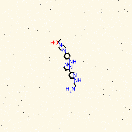 CC(O)N1CCN(c2ccc(Nc3nccc(-c4ccc(NCCN)nc4)n3)cc2)CC1